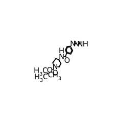 CC(C)(C)OC(=O)N1CCC(NC(=O)c2ccc(N=[N+]=N)cc2)CC1